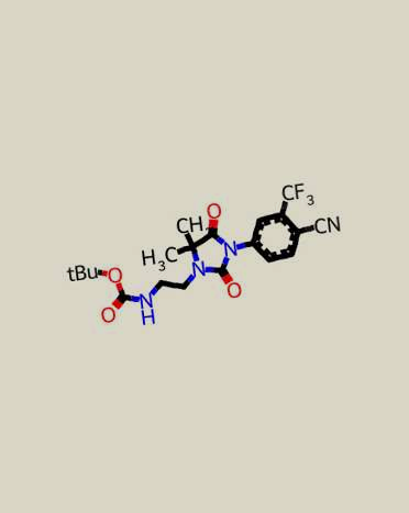 CC(C)(C)OC(=O)NCCN1C(=O)N(c2ccc(C#N)c(C(F)(F)F)c2)C(=O)C1(C)C